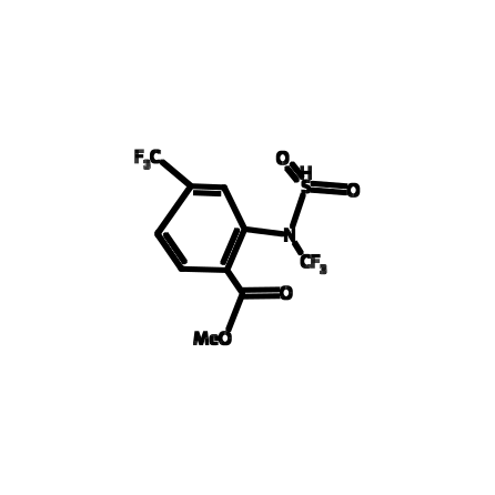 COC(=O)c1ccc(C(F)(F)F)cc1N([SH](=O)=O)C(F)(F)F